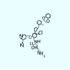 Cc1c(COc2cc(OCc3cncc(C#N)c3)c(CNC(CCCN)C(=O)O)cc2Cl)cccc1[C@H]1COc2ccccc2O1